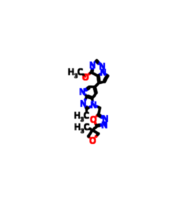 COc1ncnn2ccc(-c3cnc4nc(C)n(Cc5nnc(C6(C)COC6)o5)c4c3)c12